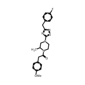 COc1ccc(CC(=O)N2CCN(c3nc(Cc4ccc(F)cc4)ns3)CC2C)cc1